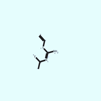 C=CS/C(N)=N\C(C)F